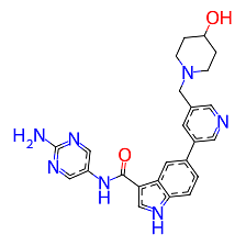 Nc1ncc(NC(=O)c2c[nH]c3ccc(-c4cncc(CN5CCC(O)CC5)c4)cc23)cn1